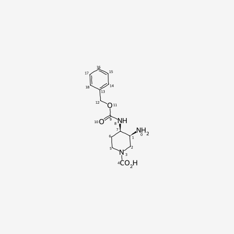 N[C@H]1CN(C(=O)O)CC[C@H]1NC(=O)OCc1ccccc1